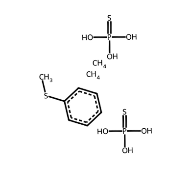 C.C.CSc1ccccc1.OP(O)(O)=S.OP(O)(O)=S